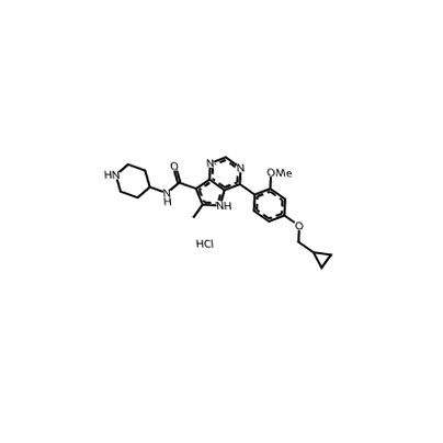 COc1cc(OCC2CC2)ccc1-c1ncnc2c(C(=O)NC3CCNCC3)c(C)[nH]c12.Cl